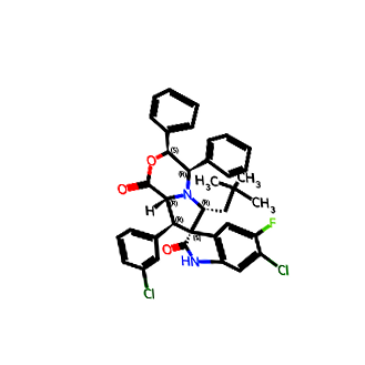 CC(C)(C)C[C@H]1N2[C@H](c3ccccc3)[C@H](c3ccccc3)OC(=O)[C@H]2[C@H](c2cccc(Cl)c2)[C@@]12C(=O)Nc1cc(Cl)c(F)cc12